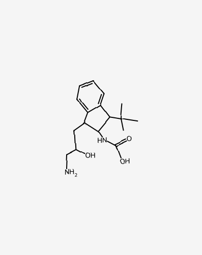 CC(C)(C)C1c2ccccc2C(CC(O)CN)C1NC(=O)O